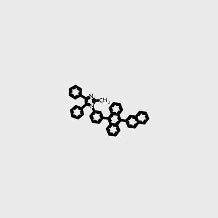 Cc1nc(-c2ccccc2)c(-c2ccccc2)n1-c1cccc(-c2c3ccccc3c(-c3ccc4ccccc4c3)c3ccccc23)c1